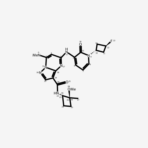 CNc1cc(Nc2cccn([C@H]3C[C@H](F)C3)c2=O)nc2c(C(=O)N[C@H]3CC[C@]3(C)OC)cnn12